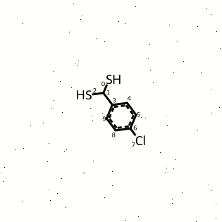 SC(S)c1ccc(Cl)cc1